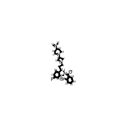 CN(C[C@@H](CCN1CC(N2CCC(N(C)C)CC2)C1)c1ccc(F)cc1)C(=O)c1ccccc1Br